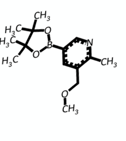 COCc1cc(B2OC(C)(C)C(C)(C)O2)cnc1C